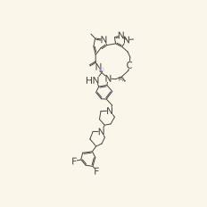 C=C1/N=C2\Nc3ccc(CN4CCC(N5CCC(c6cc(F)cc(F)c6)CC5)CC4)cc3N2C[C@H](C)CCCCc2c(cnn2C)-c2cc1cc(C)n2